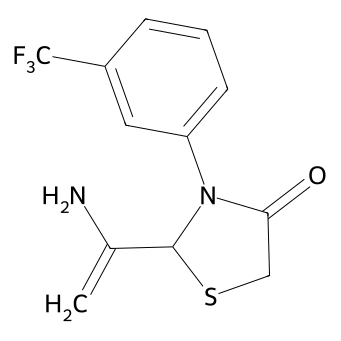 C=C(N)C1SCC(=O)N1c1cccc(C(F)(F)F)c1